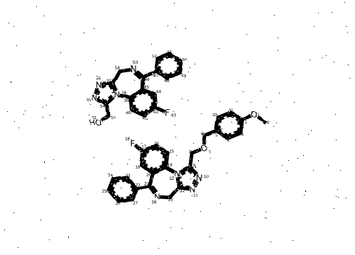 COc1ccc(COCc2nnc3n2-c2ccc(F)cc2C(c2ccccc2)=NC3)cc1.OCc1nnc2n1-c1ccc(F)cc1C(c1ccccc1)=NC2